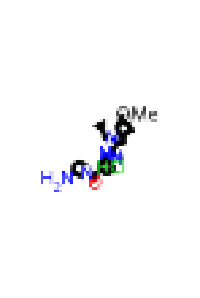 COc1ccc2cc(-c3nc4cc(C(=O)N5CCC[C@@H](N)C5)ccc4n3C)n(CC3CC3)c2c1.Cl